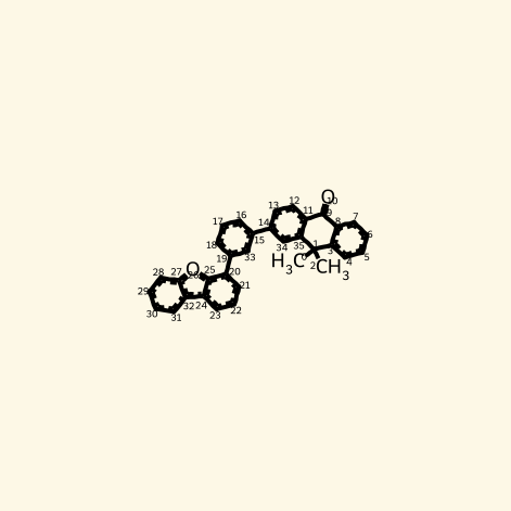 CC1(C)c2ccccc2C(=O)c2ccc(-c3cccc(-c4cccc5c4oc4ccccc45)c3)cc21